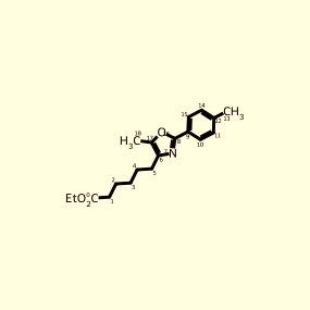 CCOC(=O)CCCCCc1nc(-c2ccc(C)cc2)oc1C